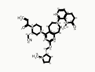 C=CC(=O)N1CCN(c2nc(OC[C@@H]3CCCN3C)nc3c2CCN(c2nccc4c2N(C)C(=O)CC4)CC3)C[C@@H]1CC#N